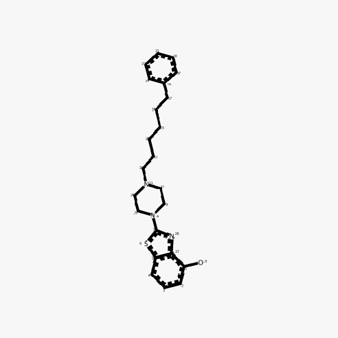 [O]c1cccc2sc(N3CCN(CCCCCCc4ccccc4)CC3)nc12